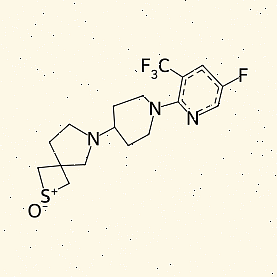 [O-][S+]1CC2(CCN(C3CCN(c4ncc(F)cc4C(F)(F)F)CC3)C2)C1